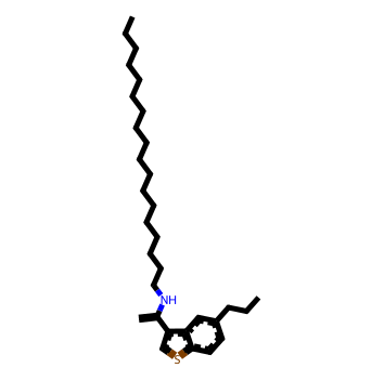 C=C(NCCCCCCCCCCCCCCCCCC)c1csc2ccc(CCC)cc12